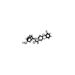 CC(C(=O)NC1C2CC3CC1CC(O)(C3)C2)N1CCC(Oc2ccccc2F)CC1